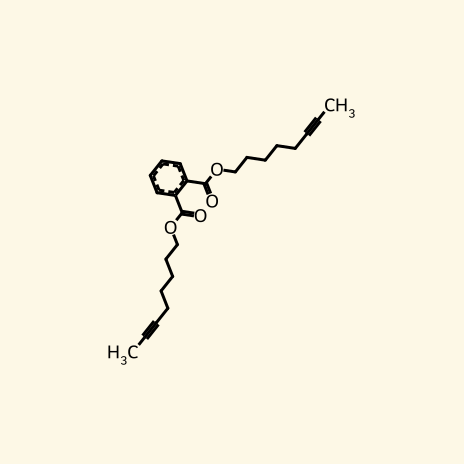 CC#CCCCCCOC(=O)c1ccccc1C(=O)OCCCCCC#CC